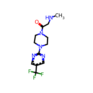 CNCC(=O)N1CCN(c2ncc(C(F)(F)F)cn2)CC1